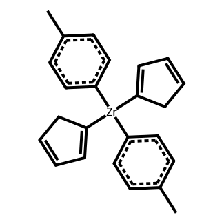 Cc1cc[c]([Zr]([C]2=CC=CC2)([C]2=CC=CC2)[c]2ccc(C)cc2)cc1